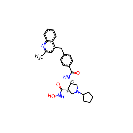 Cc1cc(Cc2ccc(C(=O)N[C@@H]3CN(C4CCCC4)C[C@@H]3C(=O)NO)cc2)c2ccccc2n1